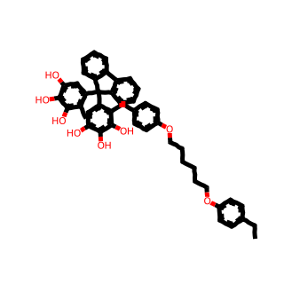 CCc1ccc(OCCCCCCOc2ccc(Cc3c(C4(c5cc(O)c(O)c(O)c5C)c5ccccc5-c5ccccc54)cc(O)c(O)c3O)cc2)cc1